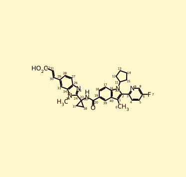 Cc1c(-c2ccc(F)cn2)n(C2CCCC2)c2ccc(C(=O)NC3(c4nc5ccc(/C=C/C(=O)O)cc5n4C)CC3)cc12